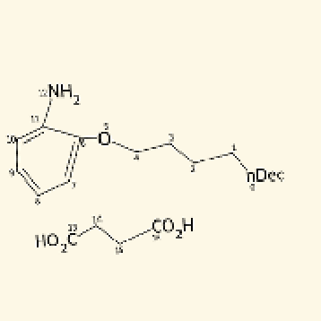 CCCCCCCCCCCCCCOc1ccccc1N.O=C(O)CCC(=O)O